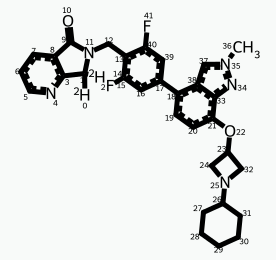 [2H]C1([2H])c2ncccc2C(=O)N1Cc1c(F)cc(-c2ccc(OC3CN(C4CCCCC4)C3)c3nn(C)cc23)cc1F